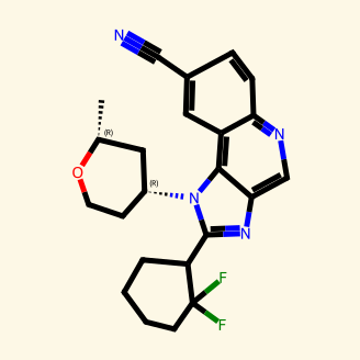 C[C@@H]1C[C@H](n2c(C3CCCCC3(F)F)nc3cnc4ccc(C#N)cc4c32)CCO1